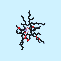 CCCCCCCC(CC(CC)CCCC)(CC(CC)CCCC)c1ccccc1OP(=O)(Oc1ccccc1C(CCCCCCC)(CC(CC)CCCC)CC(CC)CCCC)Oc1ccccc1C(CCCCCCC)(CC(CC)CCCC)CC(CC)CCCC